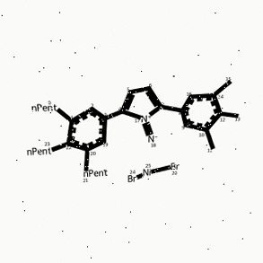 CCCCCc1cc(C2=CC=C(c3cc(C)c(C)c(C)c3)[N+]2=[N-])cc(CCCCC)c1CCCCC.[Br][Ni][Br]